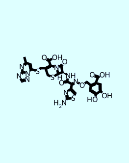 Cc1cc(SCC2=C(C(=O)O)N3C(=O)[C@@H](NC(=O)C(=NOCc4cc(O)c(O)cc4C(=O)O)c4csc(N)n4)[C@H]3SC2)n2ncnc2n1